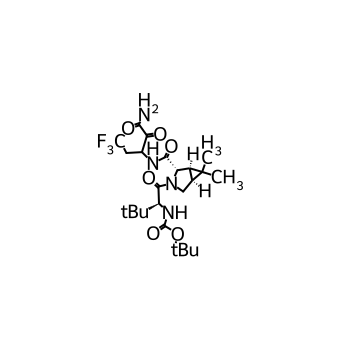 CC(C)(C)OC(=O)N[C@H](C(=O)N1C[C@H]2[C@@H]([C@H]1C(=O)NC(CC(F)(F)F)C(=O)C(N)=O)C2(C)C)C(C)(C)C